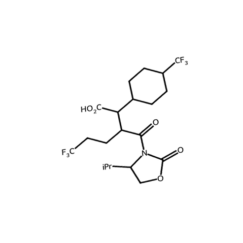 CC(C)C1COC(=O)N1C(=O)C(CCC(F)(F)F)C(C(=O)O)C1CCC(C(F)(F)F)CC1